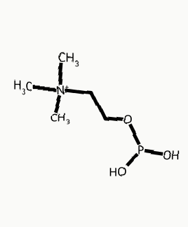 C[N+](C)(C)CCOP(O)O